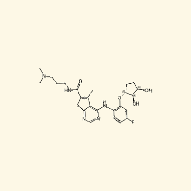 Cc1c(C(=O)NCCCN(C)C)sc2ncnc(Nc3ccc(F)cc3O[C@@H]3CC[C@@H](O)[C@H]3O)c12